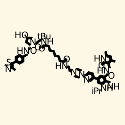 Cc1cc(C)c(CNC(=O)c2cc(-c3ccc(N4CCN(CCNC(=O)CCCCCCC(=O)NC(C(=O)N5C[C@H](O)C[C@H]5C(=O)NCc5ccc(-c6scnc6C)cc5)C(C)(C)C)CC4)nc3)cc(NC(C)C)c2C=N)c(=O)[nH]1